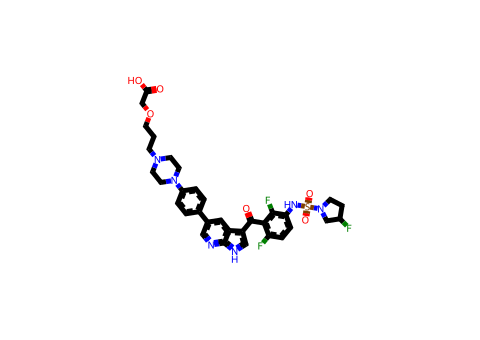 O=C(O)COCCCN1CCN(c2ccc(-c3cnc4[nH]cc(C(=O)c5c(F)ccc(NS(=O)(=O)N6CCC(F)C6)c5F)c4c3)cc2)CC1